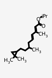 CC(/C=C/CC(C)CCC1CC1(C)C)=C\C(=O)OC(C)C